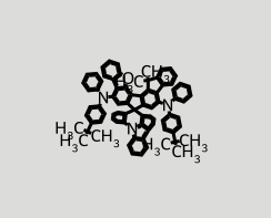 CC(C)(C)c1ccc(N(c2ccccc2)c2cc3c(c4c2-c2ccccc2C4(C)C)-c2c(cc(N(c4ccccc4)c4ccc(C(C)(C)C)cc4)c4c2oc2ccccc24)C32c3ccccc3-n3c4ccccc4c4cccc2c43)cc1